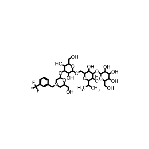 CC(C)C1OC(COC2OC(CO)C(O)C(OC3CN(Cc4cccc(C(F)(F)F)c4)CC(CO)O3)C2O)C(O)C(OC2OC(CO)C(O)C(O)C2O)C1O